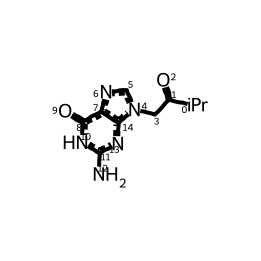 CC(C)C(=O)Cn1cnc2c(=O)[nH]c(N)nc21